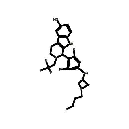 Oc1ccc2[nH]c3c(c2c1)CCN(CC(F)(F)F)C3c1c(F)cc(NC2CN(CCCF)C2)cc1F